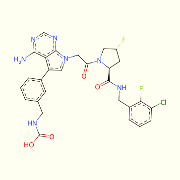 Nc1ncnc2c1c(-c1cccc(CNC(=O)O)c1)cn2CC(=O)N1C[C@H](F)C[C@H]1C(=O)NCc1cccc(Cl)c1F